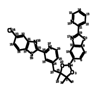 CC1(C)OB(c2ccc3sc(-c4ccccn4)nc3c2)OC1(C)Cc1ccnc(-c2nc3cc(Cl)ccc3s2)c1